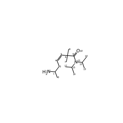 CC(N)C/C=C\C(C)(C)C(=O)N(C(C)C)C(C)C